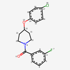 O=C(c1cccc(F)c1)N1CCC(Oc2ccc(Cl)cc2)CC1